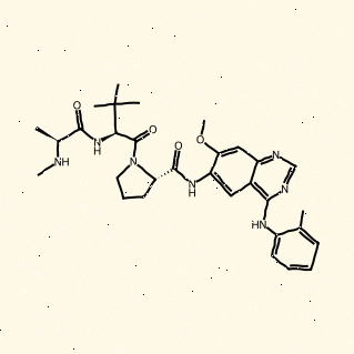 CN[C@@H](C)C(=O)N[C@H](C(=O)N1CCC[C@H]1C(=O)Nc1cc2c(Nc3ccccc3C)ncnc2cc1OC)C(C)(C)C